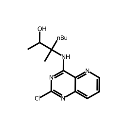 CCCCC(C)(Nc1nc(Cl)nc2cccnc12)C(C)O